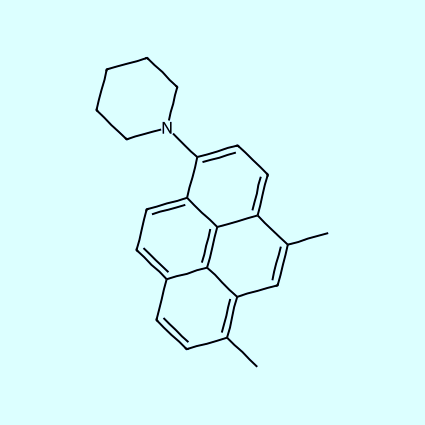 Cc1ccc2ccc3c(N4CCCCC4)ccc4c(C)cc1c2c43